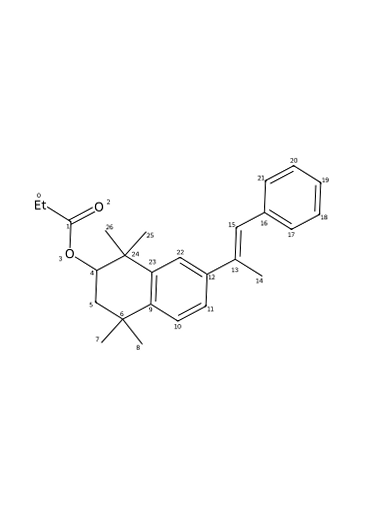 CCC(=O)OC1CC(C)(C)c2ccc(C(C)=Cc3ccccc3)cc2C1(C)C